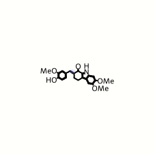 COc1cc(/C=C2\CCc3c([nH]c4cc(OC)c(OC)cc34)C2=O)ccc1O